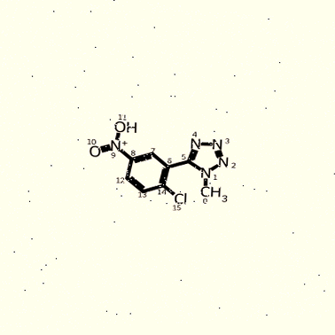 Cn1nnnc1-c1cc([N+](=O)O)ccc1Cl